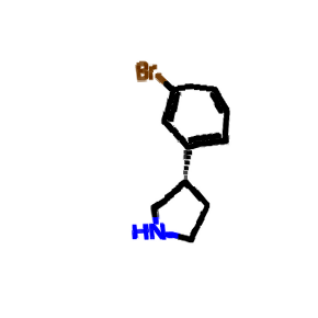 Brc1cccc([C@@H]2CCNC2)c1